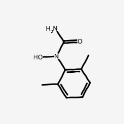 Cc1cccc(C)c1N(O)C(N)=O